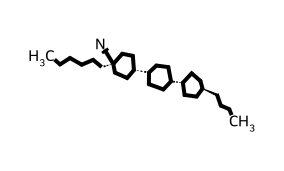 CCCCCC[C@]1(C#N)CC[C@H](C2CCC([C@H]3CC[C@H](CCCC)CC3)CC2)CC1